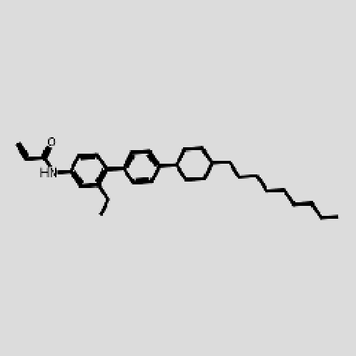 C=CC(=O)Nc1ccc(-c2ccc(C3CCC(CCCCCCCCC)CC3)cc2)c(CC)c1